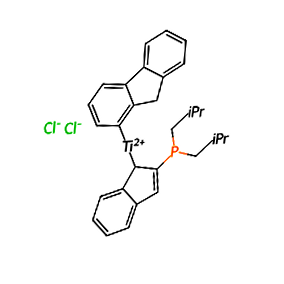 CC(C)CP(CC(C)C)C1=Cc2ccccc2[CH]1[Ti+2][c]1cccc2c1Cc1ccccc1-2.[Cl-].[Cl-]